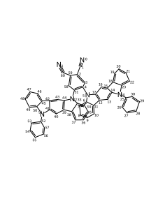 N#Cc1cc(-n2c3ccccc3c3cc4c(cc32)c2ccccc2n4-c2ccccc2)c(-n2c3ccccc3c3cc4c(cc32)c2ccccc2n4-c2ccccc2)cc1C#N